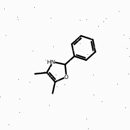 CC1=C(C)OC(c2ccccc2)N1